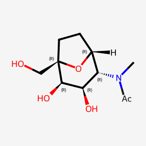 CC(=O)N(C)[C@@H]1[C@@H](O)[C@@H](O)[C@]2(CO)CC[C@H]1O2